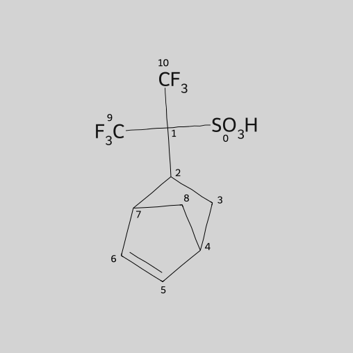 O=S(=O)(O)C(C1CC2C=CC1C2)(C(F)(F)F)C(F)(F)F